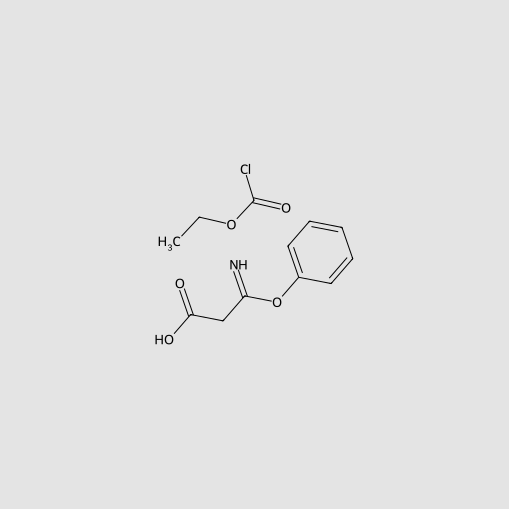 CCOC(=O)Cl.N=C(CC(=O)O)Oc1ccccc1